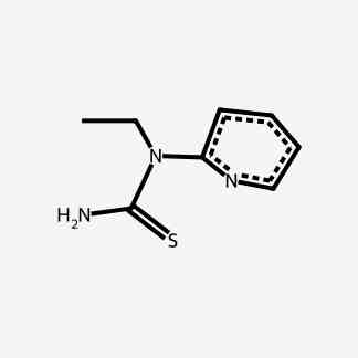 CCN(C(N)=S)c1ccccn1